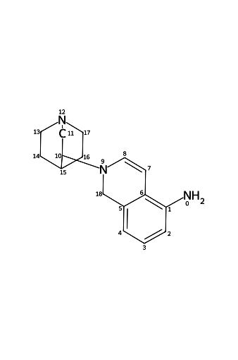 Nc1cccc2c1C=CN(C1CN3CCC1CC3)C2